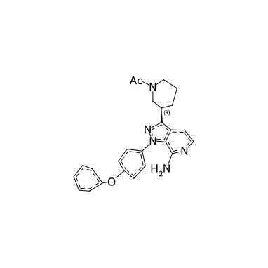 CC(=O)N1CCC[C@@H](c2nn(-c3ccc(Oc4ccccc4)cc3)c3c(N)nccc23)C1